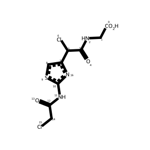 O=C(O)CNC(=O)C(Cl)c1csc(NC(=O)CCl)n1